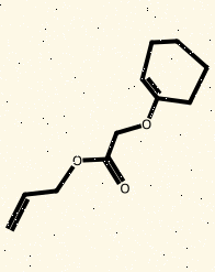 C=CCOC(=O)COC1=CCCCC1